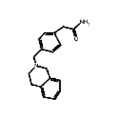 NC(=O)Cc1ccc(CN2CCc3ccccc3C2)cc1